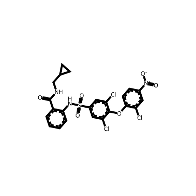 O=C(NCC1CC1)c1ccccc1NS(=O)(=O)c1cc(Cl)c(Oc2ccc([N+](=O)[O-])cc2Cl)c(Cl)c1